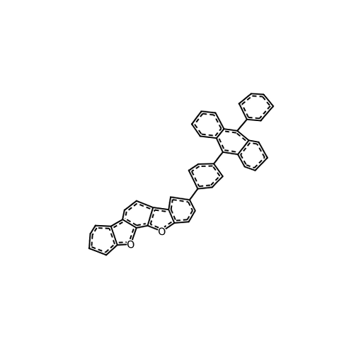 c1ccc(-c2c3ccccc3c(-c3ccc(-c4ccc5oc6c(ccc7c8ccccc8oc76)c5c4)cc3)c3ccccc23)cc1